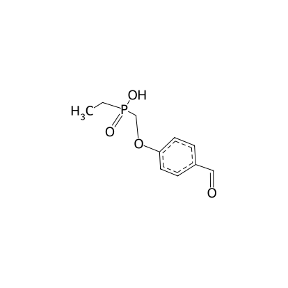 CCP(=O)(O)COc1ccc(C=O)cc1